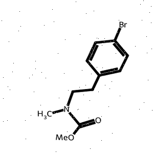 COC(=O)N(C)CCc1ccc(Br)cc1